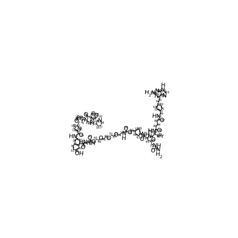 CCCO[C@H](C[C@H](C(C)C)N(CCC)C(=O)[C@@H](NC(=O)[C@H]1CCCCN1C)[C@@H](C)CC)c1nc(C(=O)N[C@H]2Cc3ccc(O)cc3[C@H](C(=O)NNC(=O)OCCOCCOCCOCCNC(=O)OCc3ccc(NC(=O)[C@H](CCCNC(N)=O)NC(=O)[C@@H](NC(=O)CCCC(=O)NCc4ccc(CCc5nc(N)nc6[nH]cnc56)cc4)C(C)C)cc3)C2)cs1